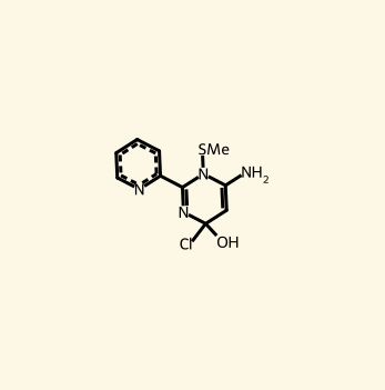 CSN1C(N)=CC(O)(Cl)N=C1c1ccccn1